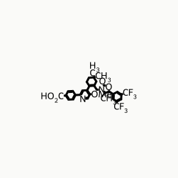 COc1cnc(-c2ccc(C(=O)O)cc2)cc1C1=C(CN2C(=O)OC(c3cc(C(F)(F)F)cc(C(F)(F)F)c3)C2C)CC(C)(C)CC1